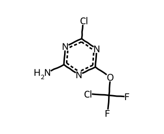 Nc1nc(Cl)nc(OC(F)(F)Cl)n1